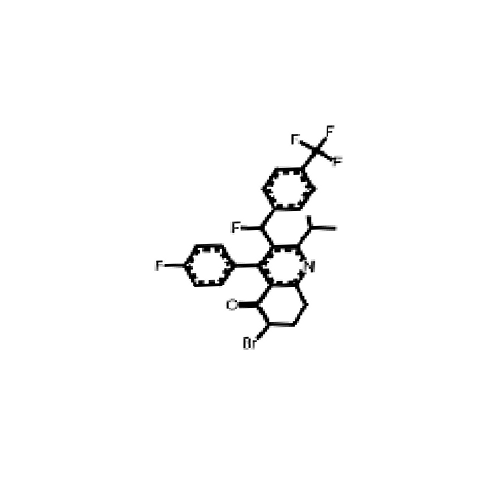 CC(C)c1nc2c(c(-c3ccc(F)cc3)c1C(F)c1ccc(C(F)(F)F)cc1)C(=O)C(Br)CC2